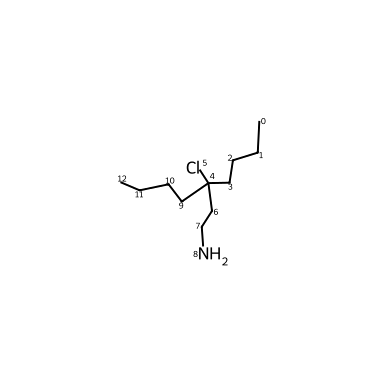 CCCCC(Cl)(CCN)CCCC